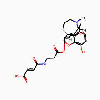 CN1CCC[C@]23c4c5ccc(O)c4O[C@H]2C(OC(=O)CCNC(=O)/C=C/C(=O)O)=CC[C@@]3(O)[C@H]1C5